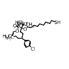 CCCOP(=O)(O)C(CCC(CCC)c1ccc(Cl)cc1)(OC(C)CCCCCCCCS)C(=O)O